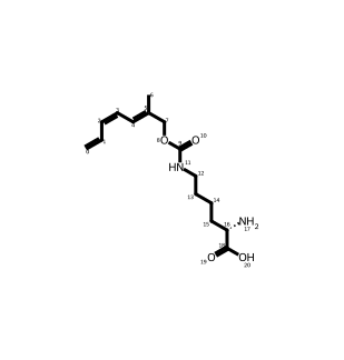 C=C/C=C\C=C(/C)COC(=O)NCCCC[C@H](N)C(=O)O